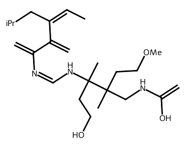 C=C(O)NCC(C)(CCOC)C(C)(CCO)N/C=N\C(=C)C(=C)/C(=C\C)CC(C)C